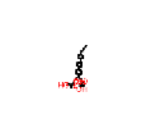 C=C(CO)C(=O)COCC(COC(=O)C(=C)CO)c1ccc(-c2ccc(-c3ccc(CCCCC)cc3)cc2)cc1